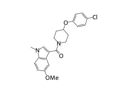 COc1ccc2c(c1)c(C(=O)N1CCC(Oc3ccc(Cl)cc3)CC1)cn2C